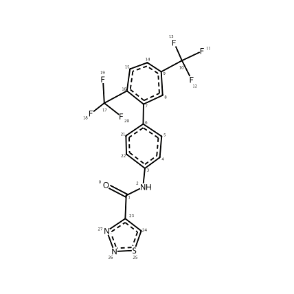 O=C(Nc1ccc(-c2cc(C(F)(F)F)ccc2C(F)(F)F)cc1)c1csnn1